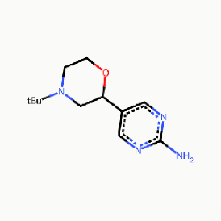 CC(C)(C)N1CCOC(c2cnc(N)nc2)C1